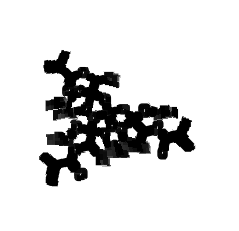 C=C(C)C(=O)OC(CC)C(OCCCC)(OCCCC)OP(=O)(OC(OCCCC)(OCCCC)C(CC)OC(=O)C(=C)C)OC(OCCCC)(OCCCC)C(CC)OC(=O)C(=C)C